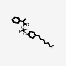 C=C(C(=O)OC(F)(F)Oc1ccc(CCCCCCF)cc1)c1ccccc1